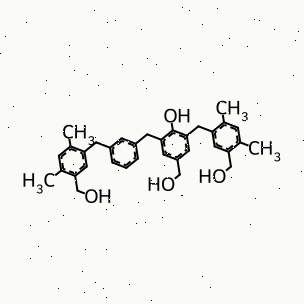 Cc1cc(C)c(Cc2cccc(Cc3cc(CO)cc(Cc4cc(CO)c(C)cc4C)c3O)c2)cc1CO